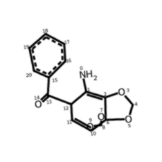 NC1=C2OCOC23OCOC3=CC1C(=O)c1ccccc1